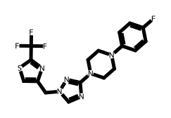 Fc1ccc(N2CCN(c3ncn(Cc4csc(C(F)(F)F)n4)n3)CC2)cc1